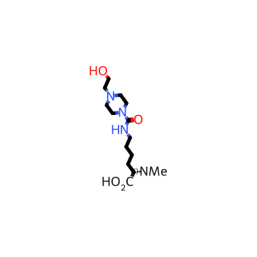 CN[C@@H](CCCCNC(=O)N1CCN(CCO)CC1)C(=O)O